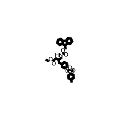 CCOC(=O)CC(CNC(=O)OCC1c2ccccc2-c2ccccc21)Cc1ccc(OS(=O)(=O)c2ccc(C)cc2)cc1